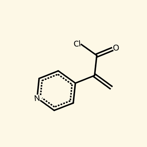 C=C(C(=O)Cl)c1ccncc1